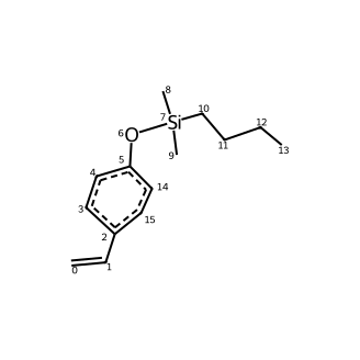 C=Cc1ccc(O[Si](C)(C)CCCC)cc1